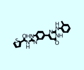 Cc1ccccc1Nc1nc(-c2ccc3[nH]c(NC(=O)c4cccs4)nc3c2)cc(=O)[nH]1